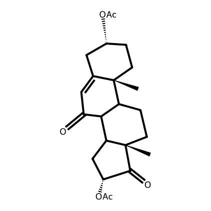 CC(=O)O[C@@H]1CC[C@@]2(C)C(=CC(=O)C3C2CC[C@]2(C)C(=O)[C@H](OC(C)=O)CC32)C1